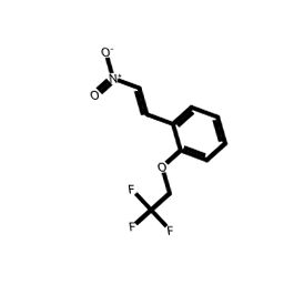 O=[N+]([O-])/C=C/c1ccccc1OCC(F)(F)F